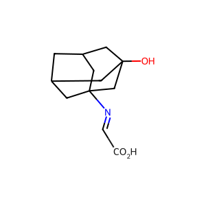 O=C(O)C=NC12CC3CC(CC(O)(C3)C1)C2